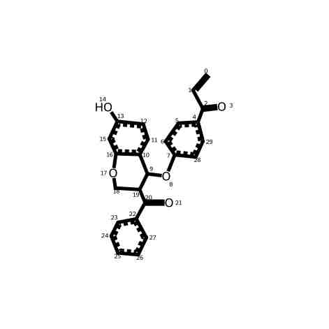 C=CC(=O)c1ccc(OC2c3ccc(O)cc3OCC2C(=O)c2ccccc2)cc1